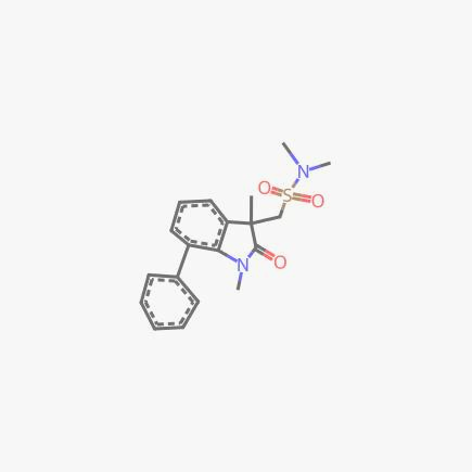 CN1C(=O)C(C)(CS(=O)(=O)N(C)C)c2cccc(-c3ccccc3)c21